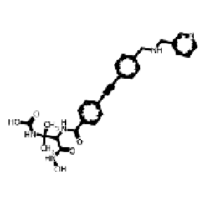 CC(C)(NC(=O)O)C(NC(=O)c1ccc(C#Cc2ccc(CNCc3cccnc3)cc2)cc1)C(=O)NO